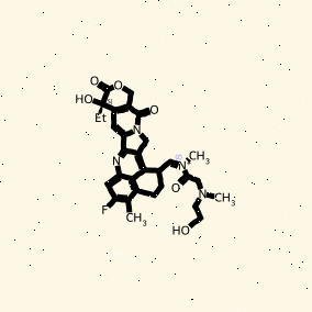 CC[C@@]1(O)C(=O)OCc2c1cc1n(c2=O)Cc2c-1nc1cc(F)c(C)c3c1c2C(/C=[N+](/C)C(=O)CN(C)CCO)CC3